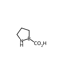 O=C(O)B1CCCN1